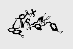 COc1ccc(CN(Cc2ccc(OC)cc2)S(=O)(=O)[C@@H](C)CC/C=C/[C@H](O)[C@@H]2CC[C@H]2CN2CC3(CCCc4cc(Cl)ccc43)COc3ccc(C(=O)OC(C)(C)C)cc32)cc1